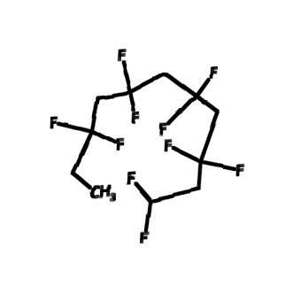 CCC(F)(F)CC(F)(F)CC(F)(F)CC(F)(F)CC(F)F